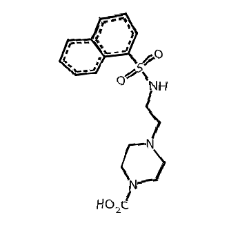 O=C(O)N1CCN(CCNS(=O)(=O)c2cccc3ccccc23)CC1